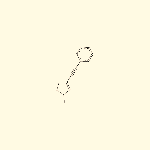 CC1C=C(C#Cc2ccccn2)CC1